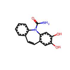 NC(=O)N1c2ccccc2C=Cc2cc(O)c(O)cc21